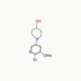 CCc1ncc(N2CCC(O)CC2)cc1OC